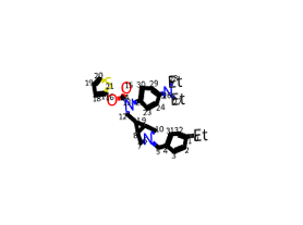 CCc1ccc(CN2CC3C(C2)C3CN(C(=O)Oc2cccs2)c2ccc(N(CC)CC)cc2)cc1